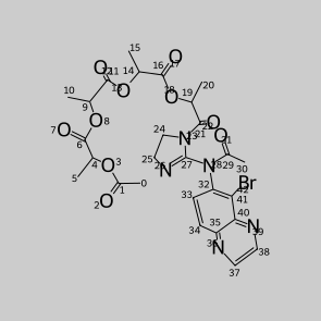 CC(=O)OC(C)C(=O)OC(C)C(=O)OC(C)C(=O)OC(C)C(=O)N1CCN=C1N(C(C)=O)c1ccc2nccnc2c1Br